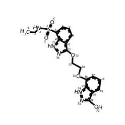 CCNS(=O)(=O)c1cccc2c(OCCOc3cccc4c(O)n[nH]c34)n[nH]c12